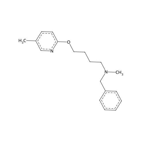 Cc1ccc(OCCCCN(C)Cc2ccccc2)nc1